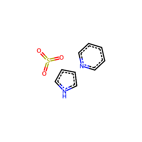 O=S(=O)=O.c1cc[nH]c1.c1ccncc1